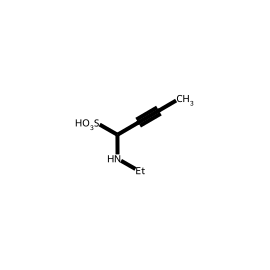 CC#CC(NCC)S(=O)(=O)O